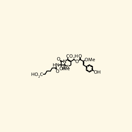 COC(=Cc1ccc(O)cc1)C(=O)OCC1=C(C(=O)O)N2C(=O)C(NC(=O)CCCCC(=O)O)(OC)[C@@H]2SC1